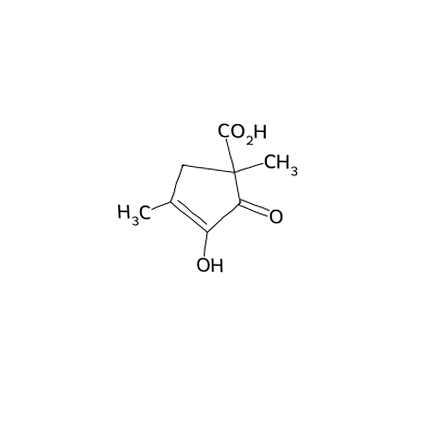 CC1=C(O)C(=O)C(C)(C(=O)O)C1